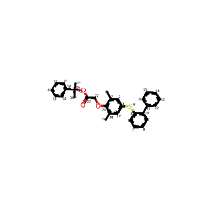 Cc1cc(Sc2ccccc2-c2ccccc2)cc(C)c1OCC(=O)OC(C)(C)c1ccccc1